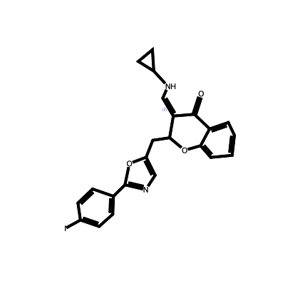 O=C1/C(=C\NC2CC2)C(Cc2cnc(-c3ccc(I)cc3)o2)Oc2ccccc21